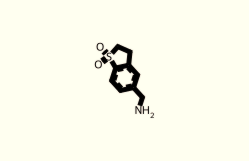 NCc1ccc2c(c1)CCS2(=O)=O